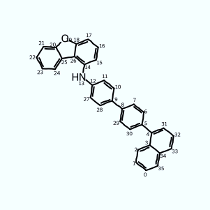 c1ccc2c(-c3ccc(-c4ccc(Nc5cccc6oc7ccccc7c56)cc4)cc3)cccc2c1